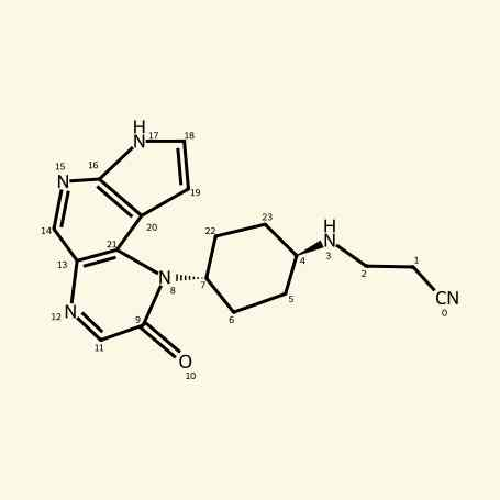 N#CCCN[C@H]1CC[C@H](n2c(=O)cnc3cnc4[nH]ccc4c32)CC1